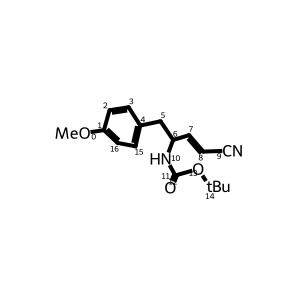 COc1ccc(CC(C=CC#N)NC(=O)OC(C)(C)C)cc1